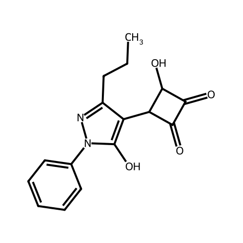 CCCc1nn(-c2ccccc2)c(O)c1C1C(=O)C(=O)C1O